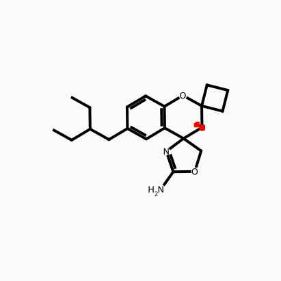 CCC(CC)Cc1ccc2c(c1)C1(COC(N)=N1)C1(COC1)C1(CCC1)O2